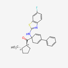 O=C(O)[C@H]1CCC[C@@H]1C(=O)C1(Nc2nc3ccc(F)cc3s2)C=CC(c2ccccc2)=CC1